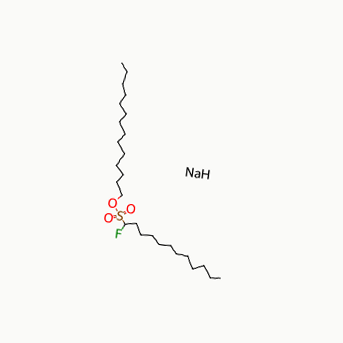 CCCCCCCCCCCCCCOS(=O)(=O)C(F)CCCCCCCCCCC.[NaH]